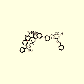 CCn1c(-c2cccnc2C(C)OC)c(CC(C)(C)CO[Si](c2ccccc2)(c2ccccc2)C(C)(C)C)c2cc(N3CCC[C@@H](CC(NC(=O)OCc4ccccc4)C(=O)O)C3)ccc21